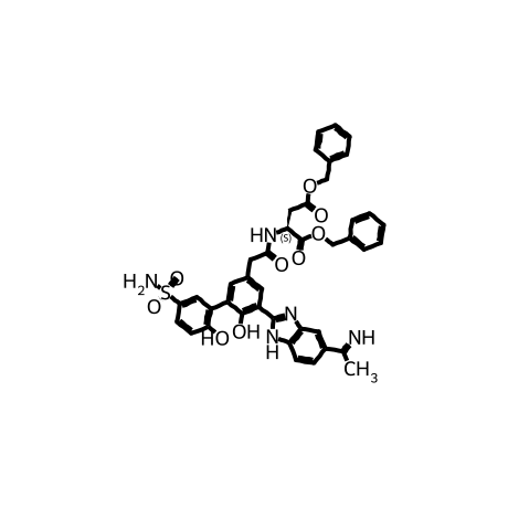 CC(=N)c1ccc2[nH]c(-c3cc(CC(=O)N[C@@H](CC(=O)OCc4ccccc4)C(=O)OCc4ccccc4)cc(-c4cc(S(N)(=O)=O)ccc4O)c3O)nc2c1